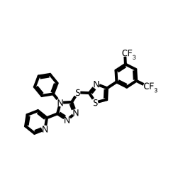 FC(F)(F)c1cc(-c2csc(Sc3nnc(-c4ccccn4)n3-c3ccccc3)n2)cc(C(F)(F)F)c1